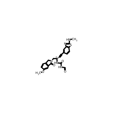 CNc1nc2cc(C#C[C@H](CN3Cc4ccc(OC)cc4C3=O)NC(=O)NC=O)ccc2s1